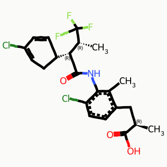 Cc1c(C[C@@H](C)C(=O)O)ccc(Cl)c1NC(=O)[C@H](C1C=CC(Cl)=CC1)[C@@H](C)C(F)(F)F